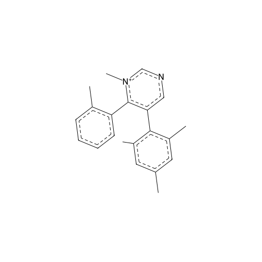 Cc1cc(C)c(-c2cnc[n+](C)c2-c2ccccc2C)c(C)c1